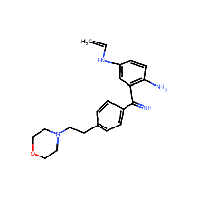 C=CNc1ccc(N)c(C(=N)c2ccc(CCN3CCOCC3)cc2)c1